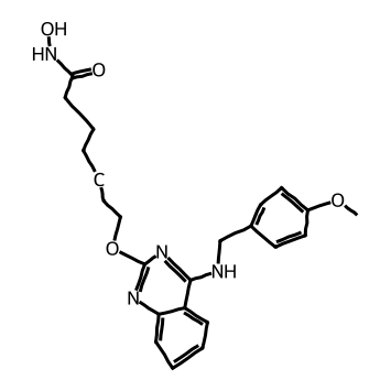 COc1ccc(CNc2nc(OCCCCCCC(=O)NO)nc3ccccc23)cc1